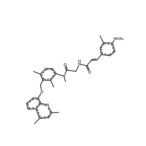 CC(=O)Nc1ccc(C=CC(=O)NCC(=O)N(C)c2ccc(C)c(COc3cccc4c(C)cc(C)nc34)c2C)cc1C